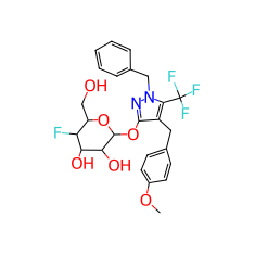 COc1ccc(Cc2c(OC3OC(CO)C(F)C(O)C3O)nn(Cc3ccccc3)c2C(F)(F)F)cc1